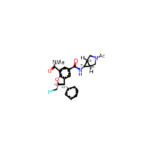 CNC(=O)c1cc(C(=O)N[C@H]2[C@@H]3CN(C(C)=O)C[C@@H]32)cc2c1O[C@H](CF)[C@H]2c1ccccc1